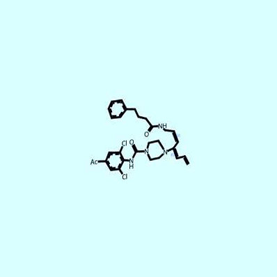 C=C/C=C(\C=C/CNC(=O)CCCc1ccccc1)N1CCN(C(=O)Nc2c(Cl)cc(C(C)=O)cc2Cl)CC1